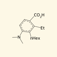 CCCCCCc1c(N(C)C)ccc(C(=O)O)c1CC